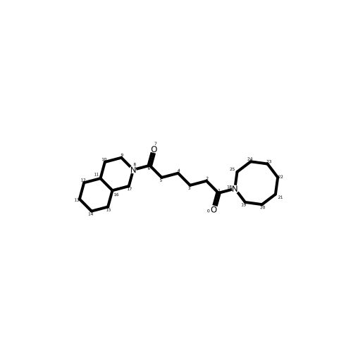 O=C(CCCCC(=O)N1CCC2CCCCC2C1)N1CCCCCCC1